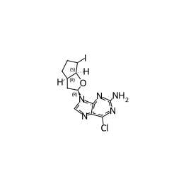 Nc1nc(Cl)c2ncn([C@H]3C[C@H]4CCC(I)[C@H]4O3)c2n1